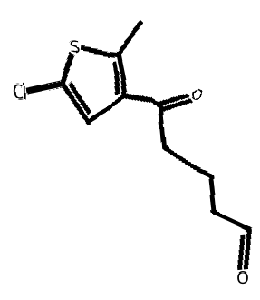 Cc1sc(Cl)cc1C(=O)CCCC=O